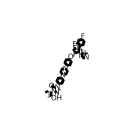 CC[C@@H]([C@@H](C)O)n1ncn(-c2ccc(N3CCN(c4ccc(OC[C@@H]5CO[C@@](Cn6cncn6)(c6ccc(F)cc6F)C5)cc4)CC3)cc2)c1=O